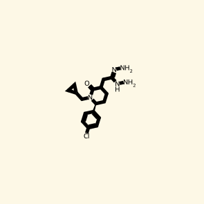 N/N=C(/CC1CC[C@@H](c2ccc(Cl)cc2)N(CC2CC2)C1=O)NN